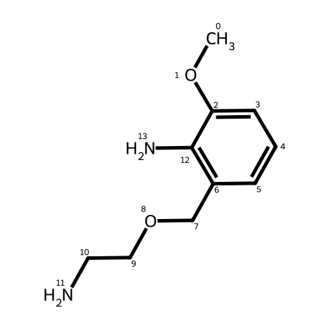 COc1cccc(COCCN)c1N